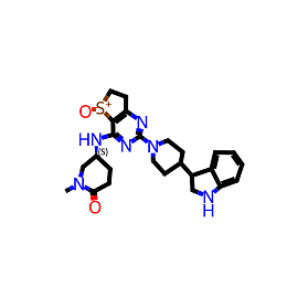 CN1C[C@@H](Nc2nc(N3CCC(C4CNc5ccccc54)CC3)nc3c2[S+]([O-])CC3)CCC1=O